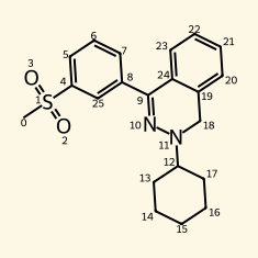 CS(=O)(=O)c1cccc(C2=NN(C3CCCCC3)Cc3ccccc32)c1